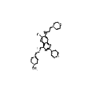 CN1CCN(CCNc2nc(N3CCOCC3)nc3nc(NCCN4CCOCC4)c(Cl)nc23)CC1